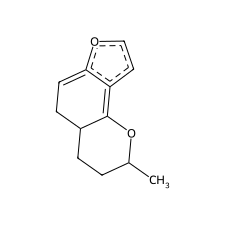 CC1CCC2CC=c3occc3=C2O1